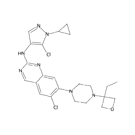 CCC1(N2CCN(c3cc4nc(Nc5cnn(C6CC6)c5Cl)ncc4cc3Cl)CC2)COC1